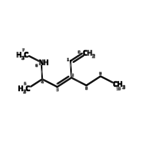 C=C/C(=C\C(C)NC)CCC